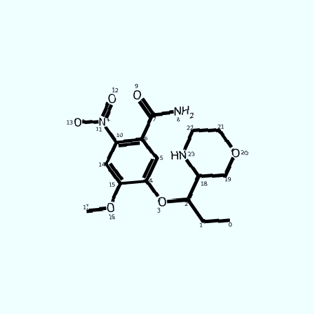 CCC(Oc1cc(C(N)=O)c([N+](=O)[O-])cc1OC)C1COCCN1